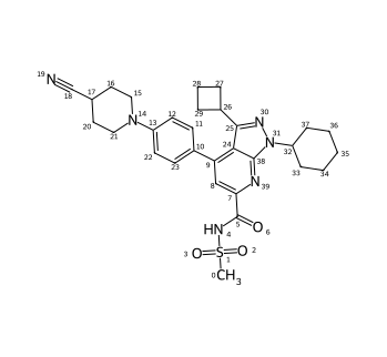 CS(=O)(=O)NC(=O)c1cc(-c2ccc(N3CCC(C#N)CC3)cc2)c2c(C3CCC3)nn(C3CCCCC3)c2n1